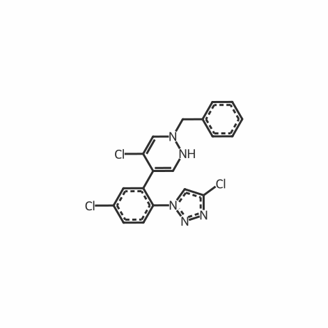 ClC1=CN(Cc2ccccc2)NC=C1c1cc(Cl)ccc1-n1cc(Cl)nn1